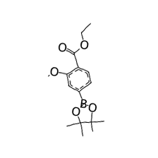 CCOC(=O)c1ccc(B2OC(C)(C)C(C)(C)O2)cc1OC